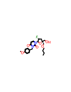 CCCCOC[C@]1(CO)C[C@@H](F)[C@H](n2ccc(=O)n(Cc3ccc(OC)cc3)c2=O)O1